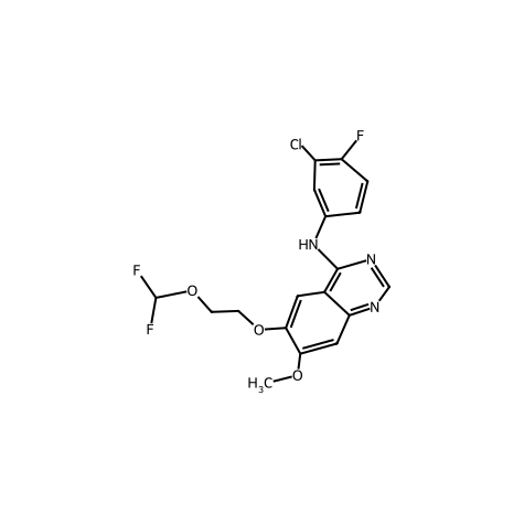 COc1cc2ncnc(Nc3ccc(F)c(Cl)c3)c2cc1OCCOC(F)F